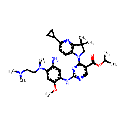 COc1cc(N(C)CCN(C)C)c(N)cc1Nc1ncc(C(=O)OC(C)C)c(N2CC(C)(C)c3nc(C4CC4)ccc32)n1